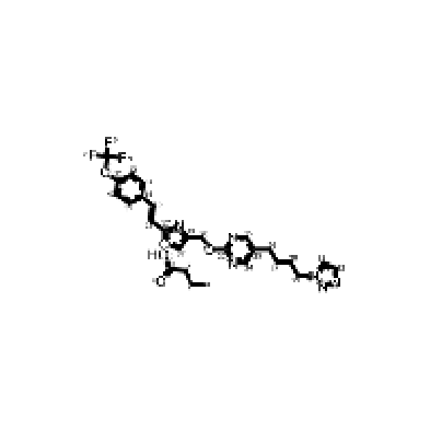 CCCC(=O)O.FC(F)(F)Oc1ccc(C=Cc2nc(COc3ncc(CCCCn4ccnn4)cn3)co2)cc1